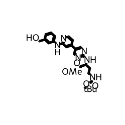 COC(=O)C(CCNC(=O)OC(C)(C)C)Nc1ncc(-c2ccnc(Nc3cccc(CO)c3)c2)cn1